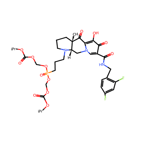 CC(C)OC(=O)OCOP(=O)(CCCN1CCC[C@]2(C)C(=O)c3c(O)c(=O)c(C(=O)NCc4ccc(F)cc4F)cn3C[C@H]12)OCOC(=O)OC(C)C